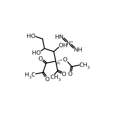 CC(=O)O[C@](C(C)=O)(C(=O)C(C)=O)C(O)C(O)CO.N=[N+]=N